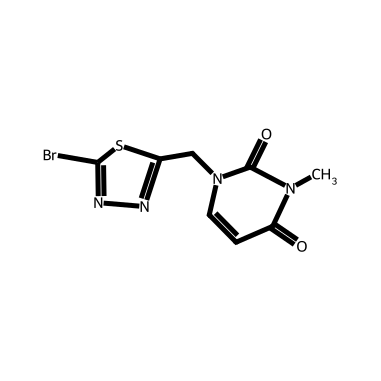 Cn1c(=O)ccn(Cc2nnc(Br)s2)c1=O